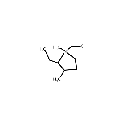 CCC1C(C)CC[N+]1(C)CC